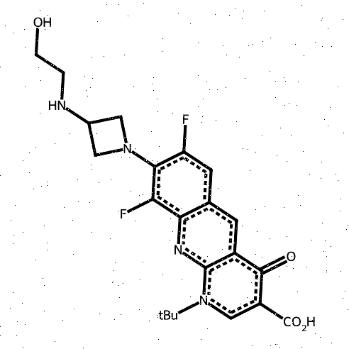 CC(C)(C)n1cc(C(=O)O)c(=O)c2cc3cc(F)c(N4CC(NCCO)C4)c(F)c3nc21